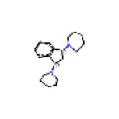 c1ccc2c(c1)[C@H](N1CCCCC1)C[C@@H]2N1CCCCC1